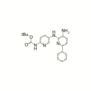 CC(C)(C)OC(=O)Nc1ccc(Nc2nc(-c3ccccc3)ccc2N)cn1